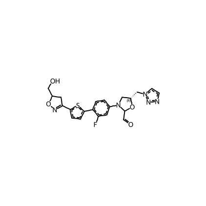 O=CC1O[C@@H](Cn2ccnn2)CN1c1ccc(-c2ccc(C3=NOC(CO)C3)s2)c(F)c1